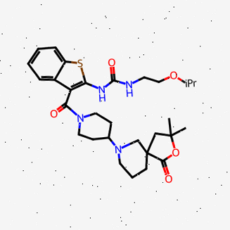 CC(C)OCCNC(=O)Nc1sc2ccccc2c1C(=O)N1CCC(N2CCCC3(C2)CC(C)(C)OC3=O)CC1